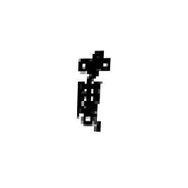 FC(F)(F)C(F)(F)C(F)(F)C(F)(F)C(F)(F)CC[Si](Cl)(Cl)Cl